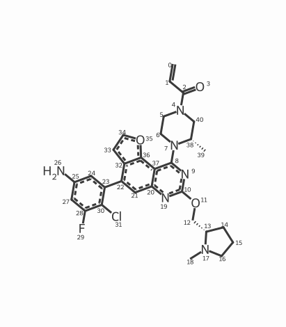 C=CC(=O)N1CCN(c2nc(OC[C@@H]3CCCN3C)nc3cc(-c4cc(N)cc(F)c4Cl)c4ccoc4c23)[C@@H](C)C1